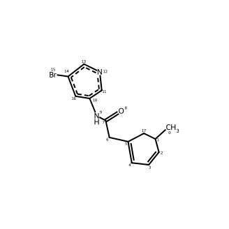 CC1C=CC=C(CC(=O)Nc2cncc(Br)c2)C1